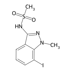 Cn1nc(NS(C)(=O)=O)c2cccc(I)c21